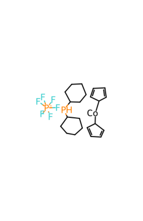 C1=C[CH]([Co][CH]2C=CC=C2)C=C1.C1CCC(PC2CCCCC2)CC1.F[P-](F)(F)(F)(F)F